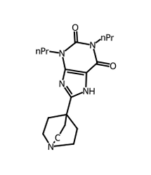 CCCn1c(=O)c2[nH]c(C34CCN(CC3)CC4)nc2n(CCC)c1=O